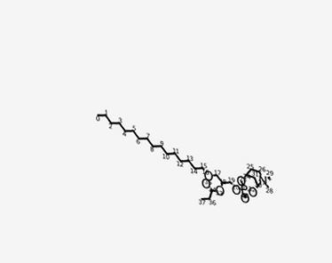 CCCCCCCCCCCCCCCCOCC(COP1(=O)OC2CC[N+](C)(C)C(C2)O1)OC(=O)CC